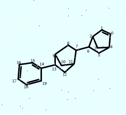 C1=CC2CC1CC2C1CC2CC1CC2c1ccccc1